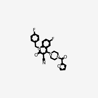 N#Cc1c(N2CCN(C(=O)c3ccco3)CC2)c2cc(F)ccc2n(Cc2ccc(F)cc2)c1=O